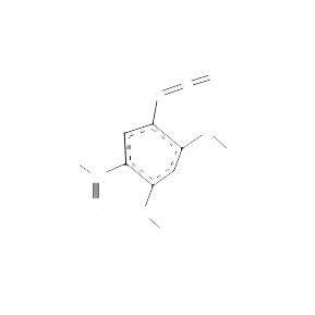 COc1cc(OC)c([N+](=O)[O-])cc1N=C=O